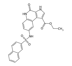 CCOC(=O)c1c[nH]c2c(=O)[nH]c3ccc(NS(=O)(=O)c4ccc5ccccc5c4)cc3c12